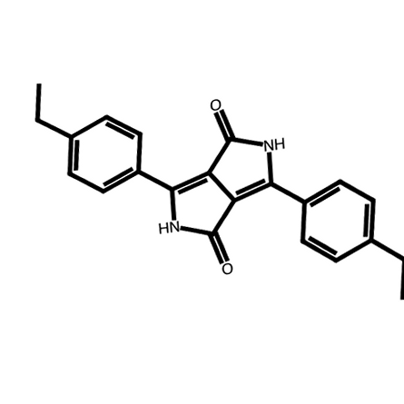 CCc1ccc(C2=C3C(=O)NC(c4ccc(CC)cc4)=C3C(=O)N2)cc1